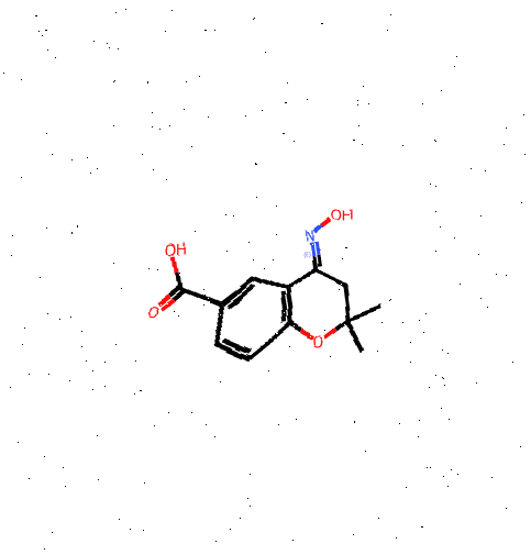 CC1(C)C/C(=N\O)c2cc(C(=O)O)ccc2O1